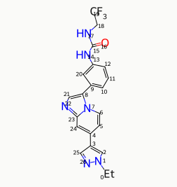 CCn1cc(-c2ccn3c(-c4cccc(NC(=O)NCC(F)(F)F)c4)cnc3c2)cn1